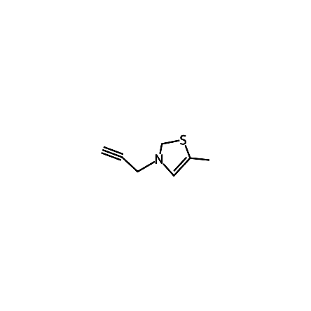 C#CCN1C=C(C)SC1